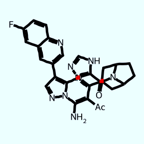 CC(=O)c1c(C2CC3CCC(C2)N3C(=O)c2nnc[nH]2)nc2c(-c3cnc4ccc(F)cc4c3)cnn2c1N